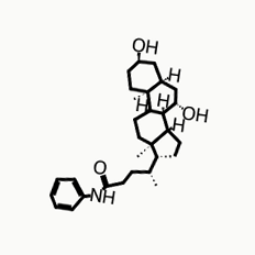 C[C@H](CCC(=O)Nc1ccccc1)[C@H]1CC[C@H]2[C@@H]3[C@@H](O)C[C@@H]4C[C@H](O)CC[C@]4(C)[C@H]3CC[C@]12C